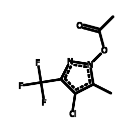 CC(=O)On1nc(C(F)(F)F)c(Cl)c1C